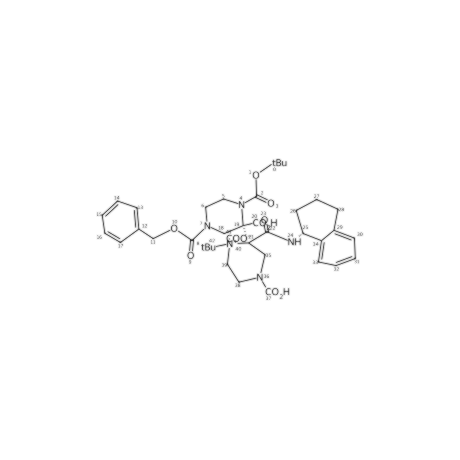 CC(C)(C)OC(=O)N1CCN(C(=O)OCc2ccccc2)CC1(C(=O)O)[C@]1(C(=O)N[C@@H]2CCCc3ccccc32)CN(C(=O)O)CC[N+]1(C(=O)[O-])C(C)(C)C